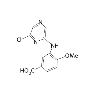 COc1ccc(C(=O)O)cc1Nc1cncc(Cl)n1